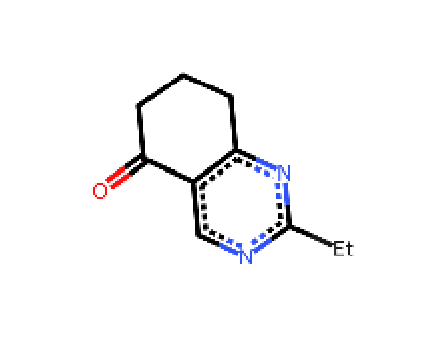 CCc1ncc2c(n1)CCCC2=O